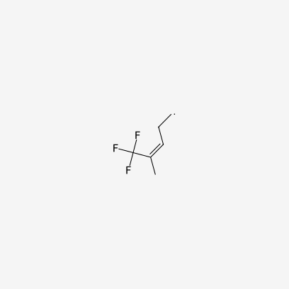 [CH2]C/C=C(/C)C(F)(F)F